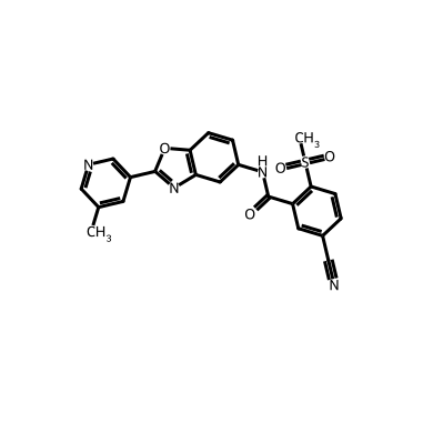 Cc1cncc(-c2nc3cc(NC(=O)c4cc(C#N)ccc4S(C)(=O)=O)ccc3o2)c1